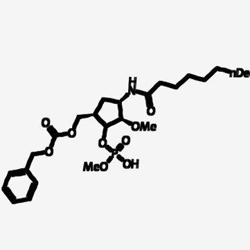 CCCCCCCCCCCCCCCC(=O)N[C@@H]1C[C@H](COC(=O)OCc2ccccc2)C(OP(=O)(O)OC)[C@@H]1OC